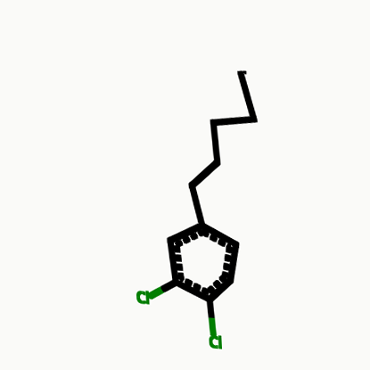 [CH2]CCCCc1ccc(Cl)c(Cl)c1